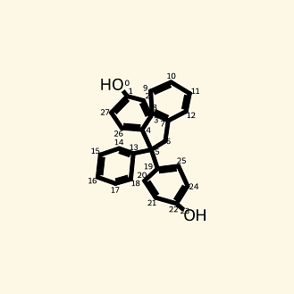 Oc1ccc(C(Cc2ccccc2)(c2ccccc2)c2ccc(O)cc2)cc1